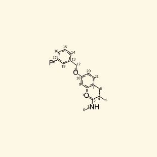 CNC(=O)C(C)Cc1ccc(OCc2cccc(F)c2)cc1